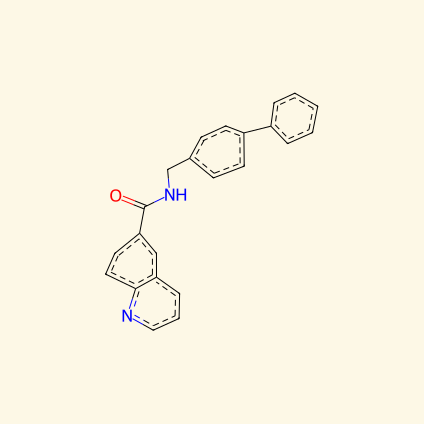 O=C(NCc1ccc(-c2ccccc2)cc1)c1ccc2ncccc2c1